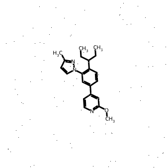 CCC(CC)c1ccc(-c2ccnc(OC)c2)cc1-n1ccc(C)n1